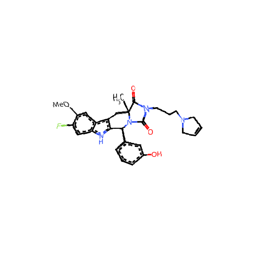 COc1cc2c3c([nH]c2cc1F)C(c1cccc(O)c1)N1C(=O)N(CCCN2CC=CC2)C(=O)C1(C)C3